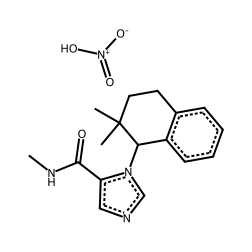 CNC(=O)c1cncn1C1c2ccccc2CCC1(C)C.O=[N+]([O-])O